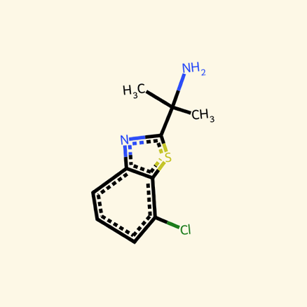 CC(C)(N)c1nc2cccc(Cl)c2s1